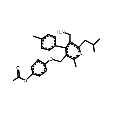 CC(=O)Oc1ccc(OCc2c(C)nc(CC(C)C)c(CN)c2-c2ccc(C)cc2)cc1